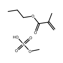 C=C(C)C(=O)OCCC.COS(=O)(=O)O